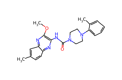 COc1nc2cc(C)ccc2nc1NC(=O)N1CCN(c2ccccc2C)CC1